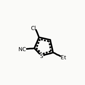 CCc1cc(Cl)c(C#N)s1